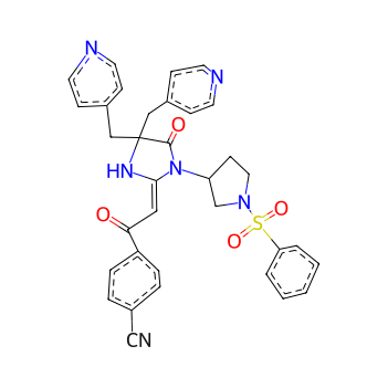 N#Cc1ccc(C(=O)C=C2NC(Cc3ccncc3)(Cc3ccncc3)C(=O)N2C2CCN(S(=O)(=O)c3ccccc3)C2)cc1